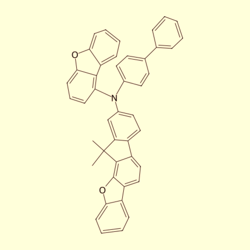 CC1(C)c2cc(N(c3ccc(-c4ccccc4)cc3)c3cccc4oc5ccccc5c34)ccc2-c2ccc3c(oc4ccccc43)c21